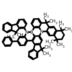 CC1(C)CCC(C)(C)c2cc3c(cc21)N1c2cc4c(c5c2B(c2cccc(c21)C3(C)C)N(c1cccc2c1C(C)(C)c1ccccc1-2)c1cc(-c2ccccc2)ccc1-5)-c1ccccc1C4(C)C